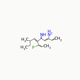 C=C/C(N)=C/C(=N)C(=C/C(C)CC)/C(F)=C\C